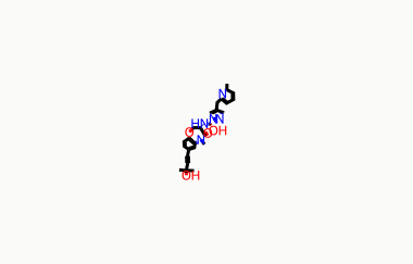 Cc1cccc(Cc2cnn(C(O)N[C@H]3COc4ccc(C#CC(C)(C)O)cc4N(C)C3=O)c2)n1